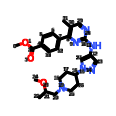 COC(=O)c1ccc(-c2nc(Nc3cnn(C4CCN(CC(C)OC)CC4)c3)ncc2C)cc1